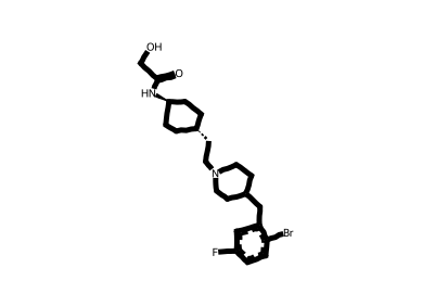 O=C(CO)N[C@H]1CC[C@H](CCN2CCC(Cc3cc(F)ccc3Br)CC2)CC1